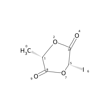 C[C@@H]1OC(=O)[C@H](I)OC1=O